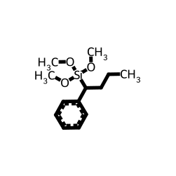 CCCC(c1ccccc1)[Si](OC)(OC)OC